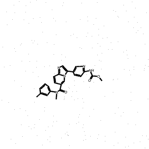 COC(=O)Nc1ccc(-c2cnc3ccc(C(=O)N(C)c4cccc(C)c4)cn23)cn1